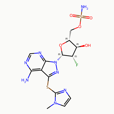 Cn1ccnc1Sc1nn([C@@H]2O[C@H](COS(N)(=O)=O)[C@@H](O)[C@@H]2F)c2ncnc(N)c12